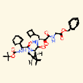 CC(C)(C)OC(=O)N[C@H](C(=O)N1C[C@H]2[C@@H](C1C(=O)NC(CC1CCC1)C(=O)C(=O)NCC(=O)OCc1ccccc1)C2(C)C)C1CCCCC1